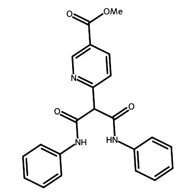 COC(=O)c1ccc(C(C(=O)Nc2ccccc2)C(=O)Nc2ccccc2)nc1